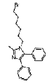 Cc1nc(-c2ccccc2)c(-c2ccccc2)n1CCCCCCBr